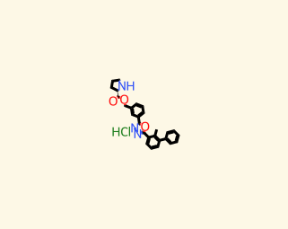 Cc1c(-c2ccccc2)cccc1-c1nnc(-c2cccc(COC(=O)[C@@H]3CCCN3)c2)o1.Cl